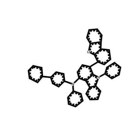 c1ccc(-c2ccc(N(c3ccccc3)c3ccc(-c4cccc5c4oc4ccccc45)c4c3c3ccccc3n4-c3ccccc3)cc2)cc1